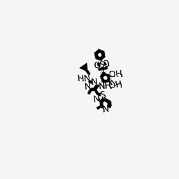 Cc1nc(NCC2CC2)nc(N[C@@H]2C[C@H](C(C)(C)S(=O)(=O)c3ccccc3)[C@@H](O)[C@H]2O)c1-c1nc2c(C)nccc2s1